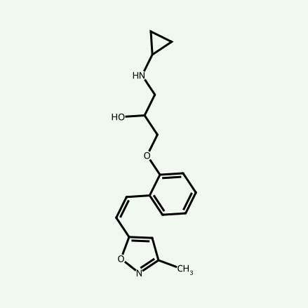 Cc1cc(/C=C\c2ccccc2OCC(O)CNC2CC2)on1